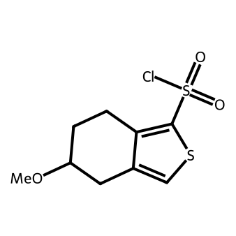 COC1CCc2c(csc2S(=O)(=O)Cl)C1